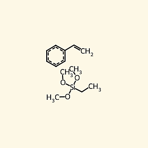 C=Cc1ccccc1.CC[Si](OC)(OC)OC